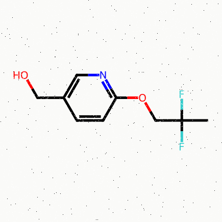 CC(F)(F)COc1ccc(CO)cn1